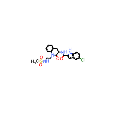 CS(=O)(=O)NCCN1C(=O)C(NC(=O)c2cc3cc(Cl)ccc3[nH]2)Cc2ccccc21